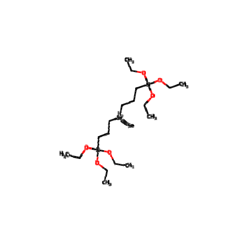 CCO[Si](CCC[SeH2](=[Se])CCC[Si](OCC)(OCC)OCC)(OCC)OCC